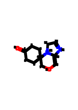 O=C1CCC2(CC1)COC=C1N=CCN12